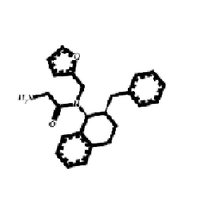 NCC(=O)N(Cc1ccco1)[C@@H]1c2ccccc2CC[C@@H]1Cc1ccccc1